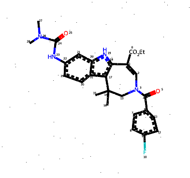 CCOC(=O)C1=CN(C(=O)c2ccc(F)cc2)CC(C)(C)c2c1[nH]c1cc(NC(=O)N(C)C)ccc21